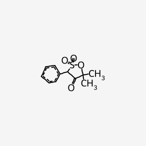 CC1(C)OS(=O)(=O)C(c2ccccc2)C1=O